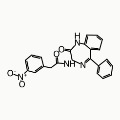 O=C(Cc1cccc([N+](=O)[O-])c1)NC1N=C(c2ccccc2)c2ccccc2NC1=O